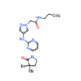 CC[C@]1(C#N)CCN(c2ccnc(Nc3cnn(CC(=O)NCCOC)c3)n2)C1=O